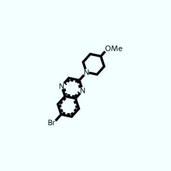 COC1CCN(c2cnc3cc(Br)ccc3n2)CC1